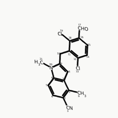 Cc1c(C#N)ccc2c1cc(Cc1c(Cl)ccc(C=O)c1Cl)n2C